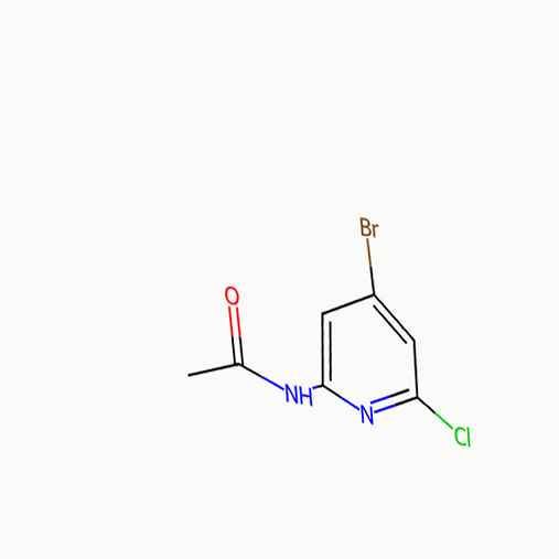 CC(=O)Nc1cc(Br)cc(Cl)n1